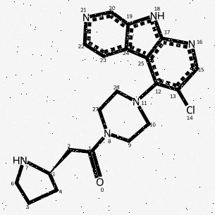 O=C(C[C@H]1CCCN1)N1CCN(c2c(Cl)cnc3[nH]c4cnccc4c23)CC1